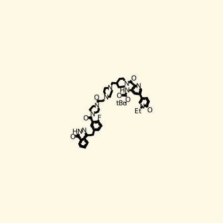 CCn1cc(-c2cnc(C(=O)N3CCC(CN4CCN(CC(=O)N5CCN(C(=O)c6cc(Cc7n[nH]c(=O)c8ccccc78)ccc6F)CC5)CC4)CC3)c(NC(=O)OC(C)(C)C)c2)ccc1=O